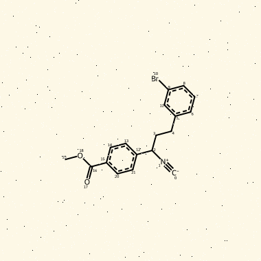 [C-]#[N+]C(CCc1cccc(Br)c1)c1ccc(C(=O)OC)cc1